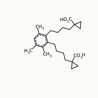 Cc1cc(C)c(CCCCC2(C(=O)O)CC2)c(CCCCC2(C(=O)O)CC2)c1C